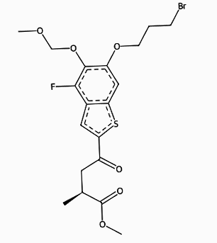 COCOc1c(OCCCBr)cc2sc(C(=O)C[C@H](C)C(=O)OC)cc2c1F